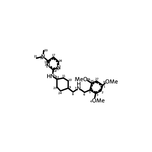 COc1cc(OC)c(CNCC2CCC(Nc3nccc(N(C)C)n3)CC2)c(OC)c1